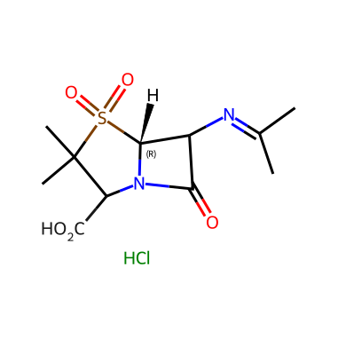 CC(C)=NC1C(=O)N2C(C(=O)O)C(C)(C)S(=O)(=O)[C@H]12.Cl